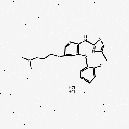 Cc1csc(Nc2ncc(SCCCN(C)C)cc2Sc2ccccc2Cl)n1.Cl.Cl